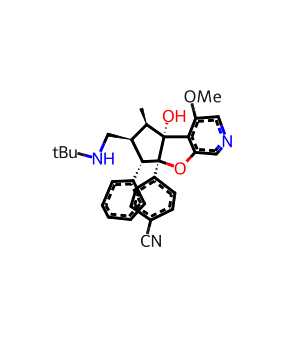 COc1cncc2c1[C@]1(O)[C@H](C)[C@H](CNC(C)(C)C)[C@@H](c3ccccc3)[C@]1(c1ccc(C#N)cc1)O2